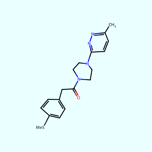 CSc1ccc(CC(=O)N2CCN(c3ccc(C)nn3)CC2)cc1